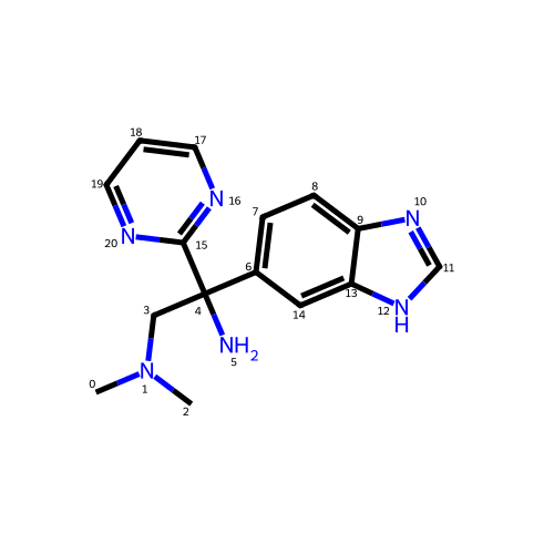 CN(C)CC(N)(c1ccc2nc[nH]c2c1)c1ncccn1